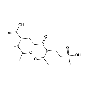 C=C(O)C(CCC(=O)N(CCS(=O)(=O)O)C(C)=O)NC(C)=O